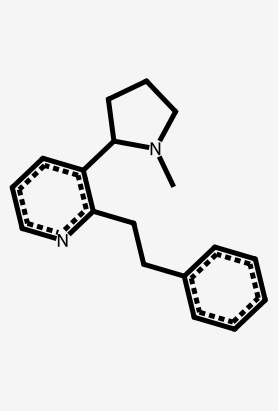 CN1CCCC1c1cccnc1CCc1ccccc1